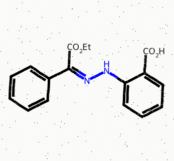 CCOC(=O)/C(=N\Nc1ccccc1C(=O)O)c1ccccc1